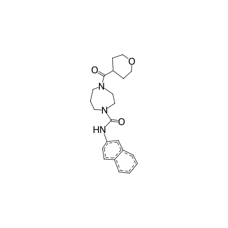 O=C(Nc1ccc2ccccc2c1)N1CCCN(C(=O)C2CCOCC2)CC1